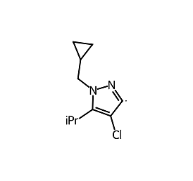 CC(C)c1c(Cl)[c]nn1CC1CC1